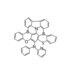 c1ccc(N(c2ccccn2)c2c3c4c5c6c2Sc2ccccc2B6c2cccc6c7cccc(c7n-5c26)B4c2ccccc2O3)cc1